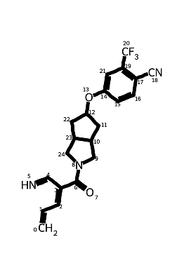 C=C/C=C(\C=N)C(=O)N1CC2CC(Oc3ccc(C#N)c(C(F)(F)F)c3)CC2C1